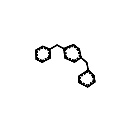 [CH](c1ccccc1)c1ccc([CH]c2ccccc2)cc1